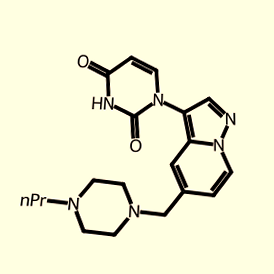 CCCN1CCN(Cc2ccn3ncc(-n4ccc(=O)[nH]c4=O)c3c2)CC1